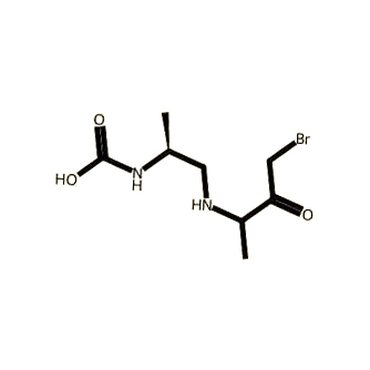 CC(NC[C@H](C)NC(=O)O)C(=O)CBr